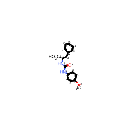 CCOc1ccc(NC(=O)N[C@H](Cc2ccccc2)C(=O)O)cc1